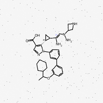 CC(Oc1cccc(-c2cccc(-n3ncc(C(=O)O)c3[C@@H]3CC3/C(N)=C/N(N)C3CNC3)c2)c1)C1CCCCC1